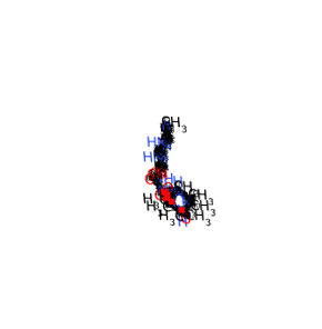 CC[C@H]1c2cc3[nH]c4c(c3C)C(=O)C(C(=O)OC)c4c3nc(cc4[nH]c(cc(n2)[C@@H]1C)c(C(C)=O)c4C)[C@@H](C)[C@@H]3CCC(=O)NCCCC(NC(=O)Oc1ccc(-c2nc3cc(-c4nc5ccc(C6CCN(C)CC6)cc5[nH]4)ccc3[nH]2)cc1)C(=O)O